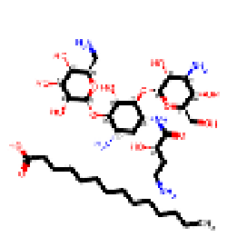 CCCCCCCCCCCCCC(=O)O.NCC[C@H](O)C(=O)N[C@@H]1C[C@H](N)[C@@H](O[C@H]2O[C@H](CN)[C@@H](O)[C@H](O)[C@H]2O)[C@H](O)[C@H]1O[C@H]1O[C@H](CO)[C@@H](O)[C@H](N)[C@H]1O